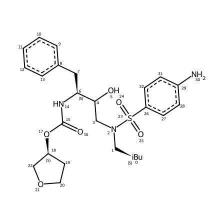 CC[C@H](C)CN(CC(O)[C@H](Cc1ccccc1)NC(=O)O[C@H]1CCOC1)S(=O)(=O)c1ccc(N)cc1